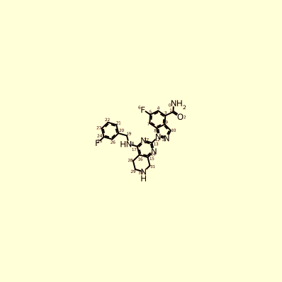 NC(=O)c1cc(F)cc2c1cnn2-c1nc2c(c(NCc3cccc(F)c3)n1)CCNC2